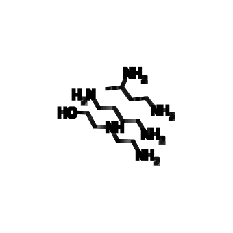 CC(N)CCN.NCCCCN.NCCNCCO